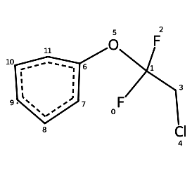 FC(F)(CCl)Oc1cc[c]cc1